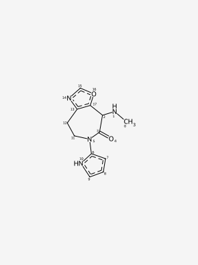 CNC1C(=O)N(c2ccc[nH]2)CCc2ncoc21